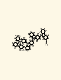 N#Cc1ccc2c3ccccc3n(-c3ccc4c(c3)c3ccccc3n4-c3ccc4c5ccccc5n(-c5cccc([Si](c6ccccc6)(c6ccccc6)c6ccccc6)c5)c4c3)c2c1